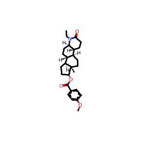 CCN1C(=O)CC[C@@H]2[C@H]3CC[C@]4(C)[C@@H](OC(=O)c5ccc(OC)cc5)CC[C@H]4[C@@H]3CC[C@H]21